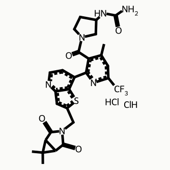 Cc1cc(C(F)(F)F)nc(-c2ccnc3cc(CN4C(=O)C5C(C4=O)C5(C)C)sc23)c1C(=O)N1CCC(NC(N)=O)C1.Cl.Cl